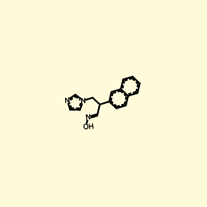 ON=CC(Cn1ccnc1)c1ccc2ccccc2c1